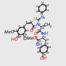 COc1cc(C=C2SC(=Nc3ccccc3)N(C(C)C(=O)NC(Cc3ccc(O)cc3)C(N)=O)C2=O)cc(OC)c1O